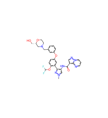 Cn1cc(NC(=O)c2cnn3cccnc23)c(-c2cc(Oc3cccc(CN4CCO[C@@H](CO)C4)c3)ccc2OC(F)F)n1